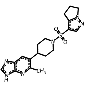 Cc1nc2[nH]cnc2cc1C1CCN(S(=O)(=O)c2cnn3c2CCC3)CC1